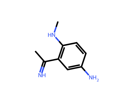 CNc1ccc(N)cc1C(C)=N